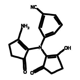 N#Cc1cccc(N(C2=C(N)CCC2=O)C2=C(O)CCC2=O)c1